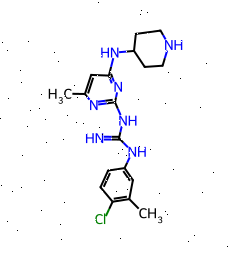 Cc1cc(NC2CCNCC2)nc(NC(=N)Nc2ccc(Cl)c(C)c2)n1